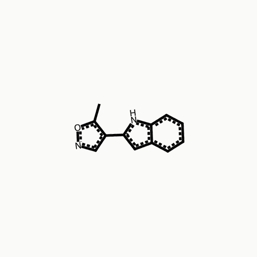 Cc1oncc1-c1cc2ccccc2[nH]1